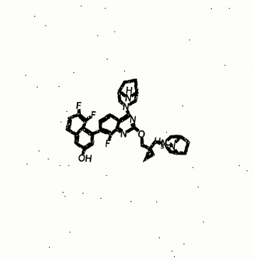 CN1C2CCC1CN(CC1(COc3nc(N4CC5CCC(C4)N5)c4ccc(-c5cc(O)cc6ccc(F)c(F)c56)c(F)c4n3)CC1)C2